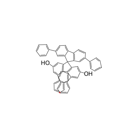 Oc1cc(C2(c3cc(O)cc4c3ccc3ccccc34)c3cc(-c4ccccc4)ccc3-c3ccc(-c4ccccc4)cc32)c2ccc3ccccc3c2c1